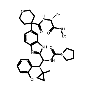 CCNC(=O)[C@H](NC(=O)C1(c2ccc3nc([C@@H](NC(=O)N4CCCC4)[C@H](c4ccccc4Cl)C4(C)CC4)[nH]c3c2)CCOCC1)C(C)C